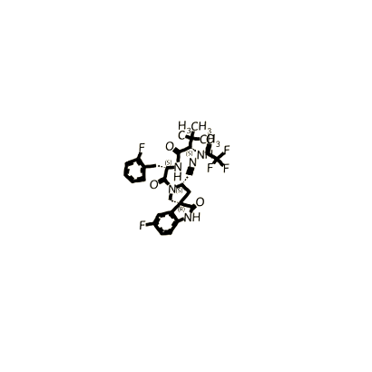 CC(C)(C)[C@H](NC(=O)C(F)(F)F)C(=O)N[C@@H](Cc1ccccc1F)C(=O)N1C[C@]2(C[C@H]1C#N)C(=O)Nc1ccc(F)cc12